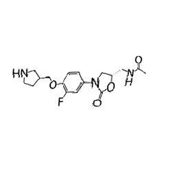 CC(=O)NC[C@H]1CN(c2ccc(OC[C@H]3CCNC3)c(F)c2)C(=O)O1